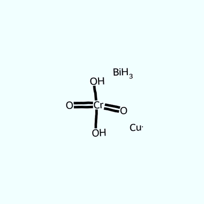 [BiH3].[Cu].[O]=[Cr](=[O])([OH])[OH]